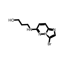 OCCCNc1ccc2ncc(Br)n2n1